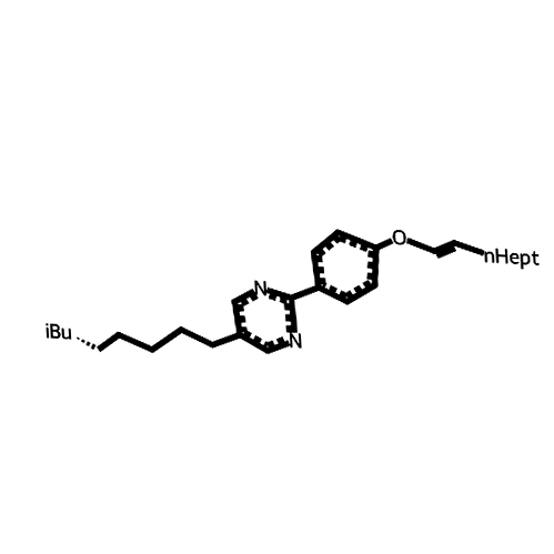 CCCCCCC/C=C/Oc1ccc(-c2ncc(CCCCC[C@@H](C)CC)cn2)cc1